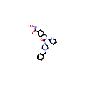 O=C(NO)c1ccc(CN(C(=O)N2CCN(Cc3ccccc3)CC2)c2ccccn2)cc1